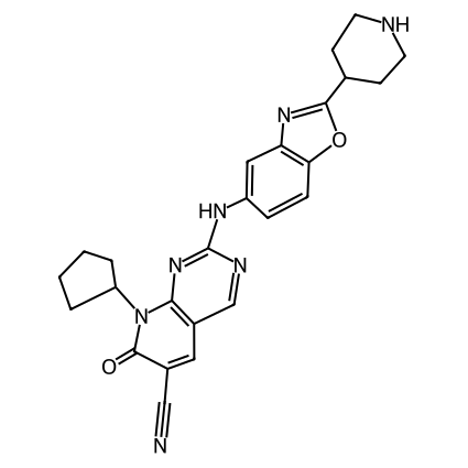 N#Cc1cc2cnc(Nc3ccc4oc(C5CCNCC5)nc4c3)nc2n(C2CCCC2)c1=O